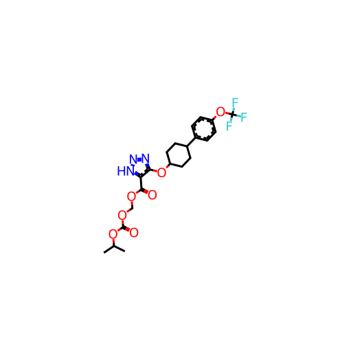 CC(C)OC(=O)OCOC(=O)c1[nH]nnc1OC1CCC(c2ccc(OC(F)(F)F)cc2)CC1